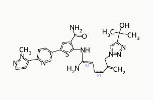 C=C(/C=C\C=C(/N)Nc1sc(-c2ccc(-c3ccnn3C)nc2)cc1C(N)=O)Cn1cc(C(C)(C)O)nn1